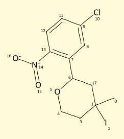 CC1(I)CCOC(c2cc(Cl)ccc2[N+](=O)[O-])C1